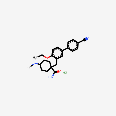 CCOc1ccc(-c2ccc(C#N)cc2)cc1CC1(C(N)=O)CCC(NC)CC1.Cl